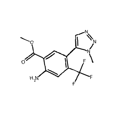 COC(=O)c1cc(-c2cnnn2C)c(C(F)(F)F)cc1N